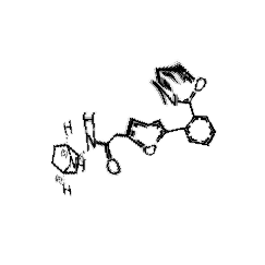 O=C(N[C@@H]1C[C@H]2CC[C@@H]1N2)c1ccc(-c2ccccc2-c2ncco2)o1